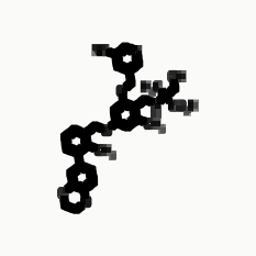 Cc1cc(OCc2cccc(-c3ccc4c(c3)OCCO4)c2C)cc(OCc2cncc(C#N)c2)c1CN[C@](C)(CO)C(=O)O